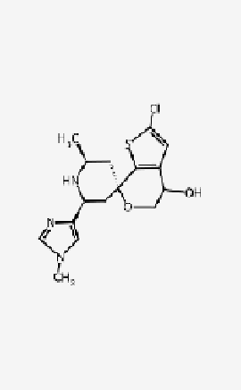 C[C@H]1C[C@@]2(C[C@@H](c3cn(C)cn3)N1)OCC(O)c1cc(Cl)sc12